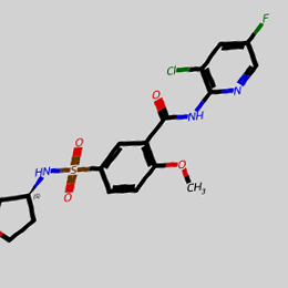 COc1ccc(S(=O)(=O)N[C@H]2CCOC2)cc1C(=O)Nc1ncc(F)cc1Cl